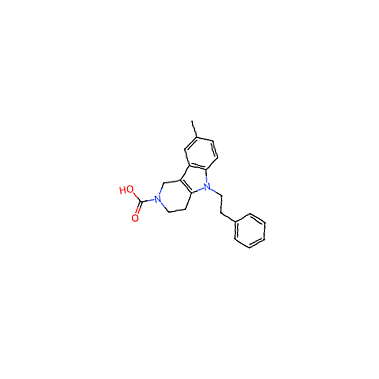 Cc1ccc2c(c1)c1c(n2CCc2ccccc2)CCN(C(=O)O)C1